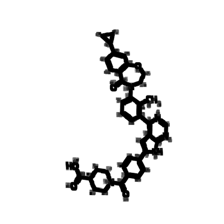 Cc1c(-c2ncnc3[nH]c(-c4ccc(C(=O)N5CCC(C(=O)O)CC5)cc4)cc23)cccc1N1CCOc2cc(C3CC3)ccc2C1=O